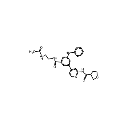 CC(=O)[AsH]CCNC(=O)c1cc(Nc2ccccc2)cc(-c2ccnc(NC(=O)C3CCOC3)c2)c1